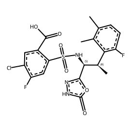 Cc1ccc(F)c([C@@H](C)[C@H](NS(=O)(=O)c2cc(F)c(Cl)cc2C(=O)O)c2n[nH]c(=O)o2)c1C